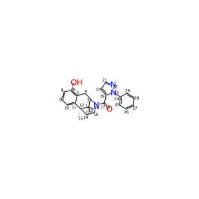 CC1(C)C2Cc3c(O)cccc3[C@]1(C)CCN2C(=O)c1ccnn1-c1ccccc1